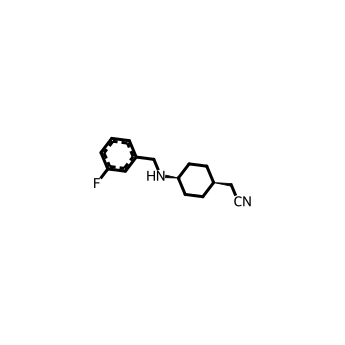 N#CC[C@H]1CC[C@@H](NCc2cccc(F)c2)CC1